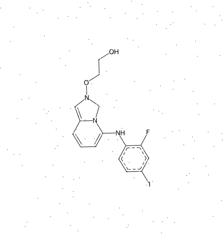 OCCON1C=C2C=CC=C(Nc3ccc(I)cc3F)N2C1